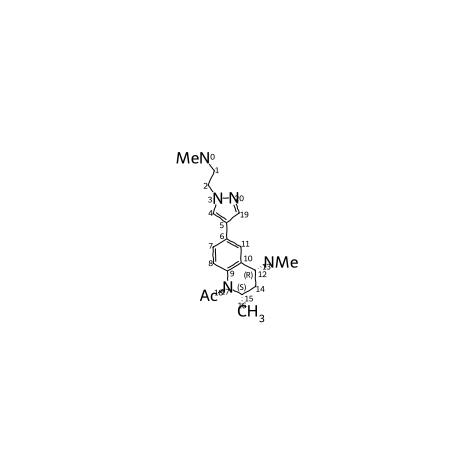 CNCCn1cc(-c2ccc3c(c2)[C@H](NC)C[C@H](C)N3C(C)=O)cn1